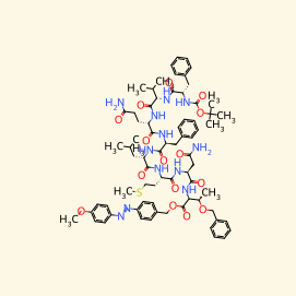 COc1ccc(N=Nc2ccc(COC(=O)[C@@H](NC(=O)[C@H](CC(N)=O)NC(=O)[C@H](CCSC)NC(=O)[C@H](CC(C)C)NC(=O)[C@H](Cc3ccccc3)NC(=O)[C@H](CCC(N)=O)NC(=O)[C@@H](NC(=O)[C@H](Cc3ccccc3)NC(=O)OC(C)(C)C)C(C)C)[C@@H](C)OCc3ccccc3)cc2)cc1